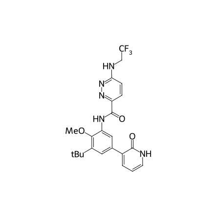 COc1c(NC(=O)c2ccc(NCC(F)(F)F)nn2)cc(-c2ccc[nH]c2=O)cc1C(C)(C)C